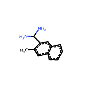 Cc1cc2ccccc2cc1C(N)N